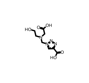 O=C(O)CN(CCO)Cn1cc(C(=O)O)nn1